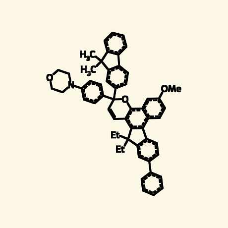 CCC1(CC)c2cc(-c3ccccc3)ccc2-c2c1c1c(c3cc(OC)ccc23)OC(c2ccc(N3CCOCC3)cc2)(c2ccc3c(c2)C(C)(C)c2ccccc2-3)C=C1